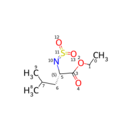 CCOC(=O)[C@H](CC(C)C)N=S(=O)=O